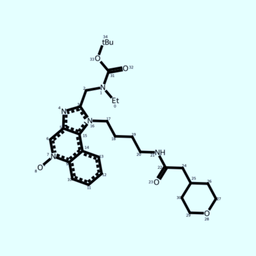 CCN(Cc1nc2c[n+]([O-])c3ccccc3c2n1CCCCNC(=O)CC1CCOCC1)C(=O)OC(C)(C)C